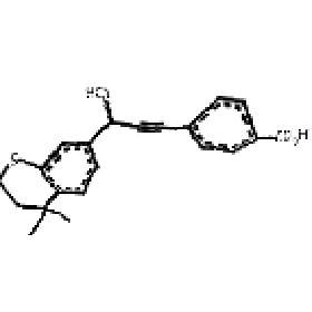 CC1(C)CCSc2cc(C(O)C#Cc3ccc(C(=O)O)cc3)ccc21